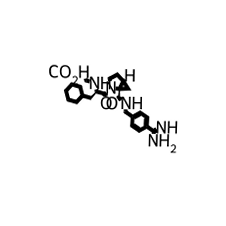 N=C(N)c1ccc(CNC(=O)[C@]23C[C@H]2CCN3C(=O)[C@@H](CC2CCCCC2)NCC(=O)O)cc1